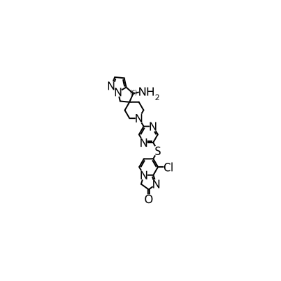 N[C@@H]1c2ccnn2CC12CCN(c1cnc(SC3=C(Cl)C4=NC(=O)CN4C=C3)cn1)CC2